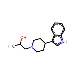 CC(O)CN1CCC(c2c[nH]c3ccccc23)CC1